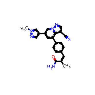 CC(=Cc1ccc(-c2cc(-c3cnn(C)c3)cn3ncc(C#N)c23)cc1)C(N)=O